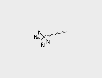 CC=CC=CCC=CCC(C#N)(C#N)C(C#N)C#N